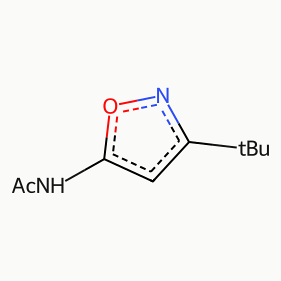 CC(=O)Nc1cc(C(C)(C)C)no1